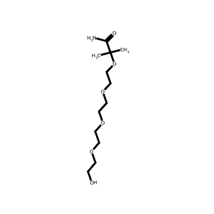 CC(C)(OCCOCCOCCOCCO)C(N)=O